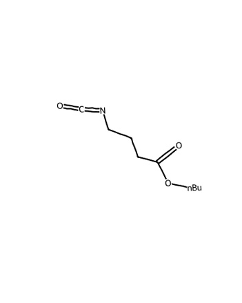 CCCCOC(=O)CCCN=C=O